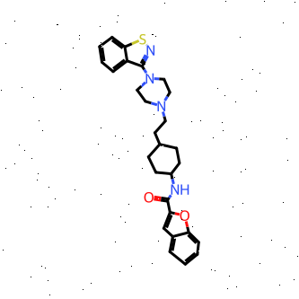 O=C(NC1CCC(CCN2CCN(c3nsc4ccccc34)CC2)CC1)c1cc2ccccc2o1